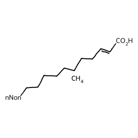 C.CCCCCCCCCCCCCCCCCC=CC(=O)O